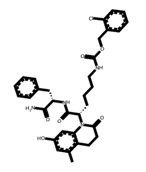 Cc1cc(O)cc2c1CCC(=O)N2[C@@H](CCCCNC(=O)OCc1ccccc1Cl)C(=O)N[C@@H](Cc1ccccc1)C(N)=O